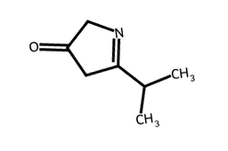 CC(C)C1=NCC(=O)C1